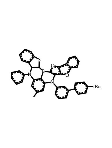 Cc1cc2c3c(c1)N(c1ccccc1)C1c4ccccc4SC1B3c1oc3c(oc4ccccc43)c1N2c1cccc(-c2ccc(C(C)(C)C)cc2)c1